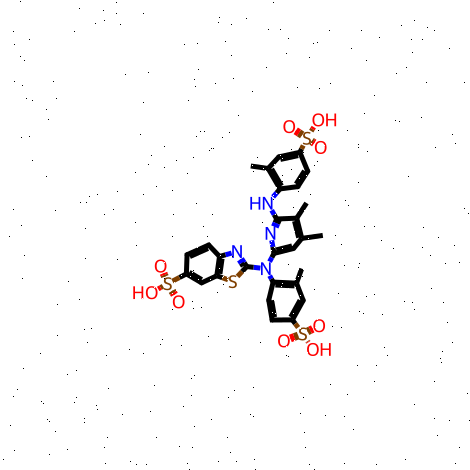 Cc1cc(S(=O)(=O)O)ccc1Nc1nc(N(c2nc3ccc(S(=O)(=O)O)cc3s2)c2ccc(S(=O)(=O)O)cc2C)cc(C)c1C